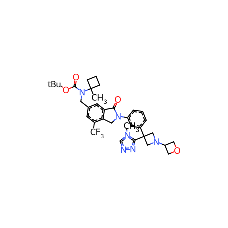 Cn1cnnc1C1(c2cccc(N3Cc4c(cc(CN(C(=O)OC(C)(C)C)C5(C)CCC5)cc4C(F)(F)F)C3=O)c2)CN(C2COC2)C1